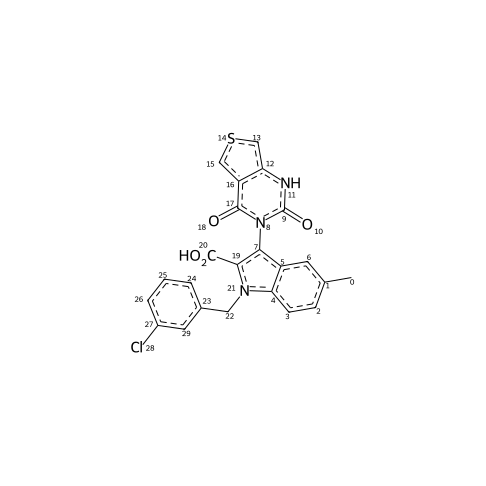 Cc1ccc2c(c1)c(-n1c(=O)[nH]c3cscc3c1=O)c(C(=O)O)n2Cc1cccc(Cl)c1